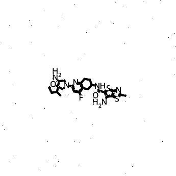 Cc1nc2sc(C(=O)NC3CCc4nc(N5CC(N)C6(C5)OCCC6C)cc(F)c4C3)c(N)c2s1